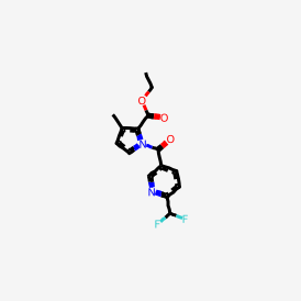 CCOC(=O)c1c(C)ccn1C(=O)c1ccc(C(F)F)nc1